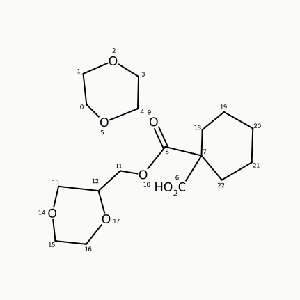 C1COCCO1.O=C(O)C1(C(=O)OCC2COCCO2)CCCCC1